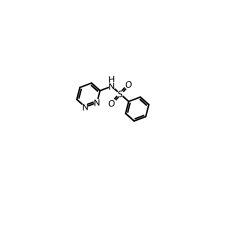 O=S(=O)(Nc1cccnn1)c1ccccc1